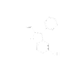 O=CC1Oc2ccc(O)cc2C1c1ccccc1